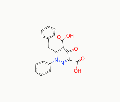 O=C(O)c1nn(-c2ccccc2)c(Cc2ccccc2)c(C(=O)O)c1=O